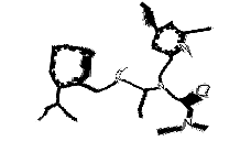 Cc1cc(C)nc(N(C(=O)N(C)C)C(C)NCc2ccccc2C(C)C)c1